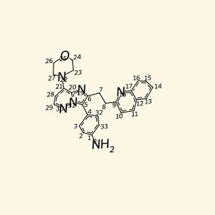 Nc1ccc(-c2c(CCc3ccc4ccccc4n3)nc3c(N4CCOCC4)ccnn23)cc1